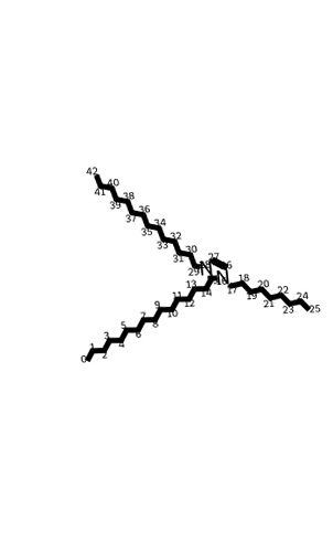 CCCCCCCCCCCCCCCC1N(CCCCCCCCC)C=CN1CCCCCCCCCCCCCC